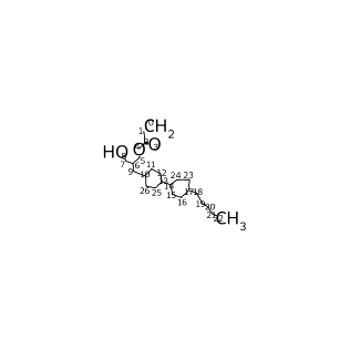 C=CC(=O)OCC(CO)CC1CCC(C2CCC(CCCCC)CC2)CC1